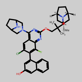 CO[C@H]1C[C@H]2CC[C@@H](C1)N2CC(C)(C)COc1nc(N2CC3CCC(C2)N3)c2cc(Cl)c(-c3cc(O)cc4ccccc34)c(F)c2n1